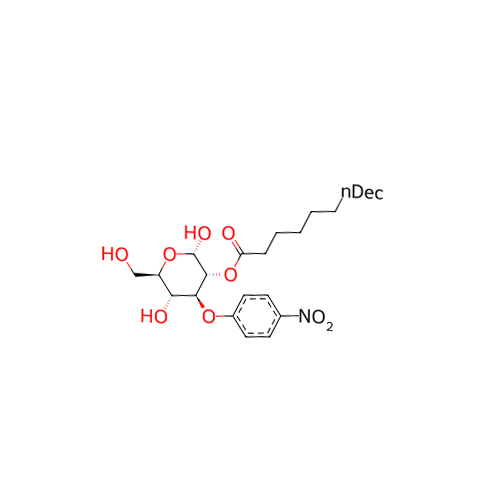 CCCCCCCCCCCCCCCC(=O)O[C@@H]1[C@@H](Oc2ccc([N+](=O)[O-])cc2)[C@H](O)[C@@H](CO)O[C@@H]1O